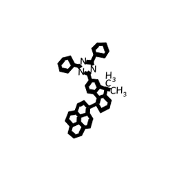 CC1(C)c2cc(-c3nc(-c4ccccc4)nc(-c4ccccc4)n3)ccc2-c2c(-c3ccc4ccc5cccc6ccc3c4c56)cccc21